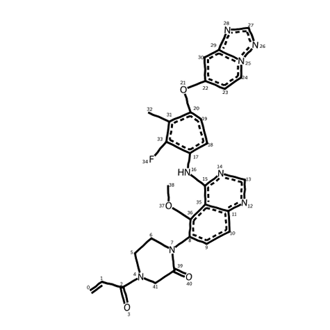 C=CC(=O)N1CCN(c2ccc3ncnc(Nc4ccc(Oc5ccn6ncnc6c5)c(C)c4F)c3c2OC)C(=O)C1